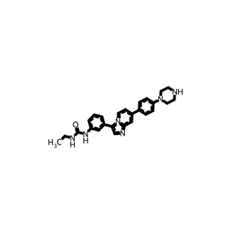 CCNC(=O)Nc1cccc(-c2cnc3cc(-c4ccc(N5CCNCC5)cc4)ccn23)c1